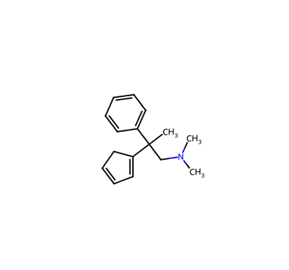 CN(C)CC(C)(C1=CC=CC1)c1ccccc1